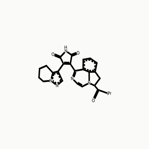 CC(C)C(=O)C1Cc2cccc3c2N1C=CN=C3C1=C(c2cnn3c2CCCC3)C(=O)NC1=O